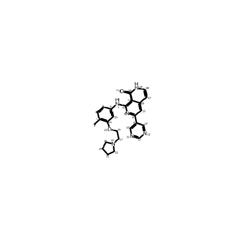 Cc1ccc(Nc2nc(-c3cncnc3)cc3cc[nH]c(=O)c23)cc1OCCN1CCCC1